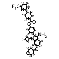 Nc1c(-c2ccc(OC(=O)N3CCC(c4nccc(C(F)(F)F)n4)CC3)cc2)n(C2CCC2)c2cc(OC3CCOCC3)ccc12